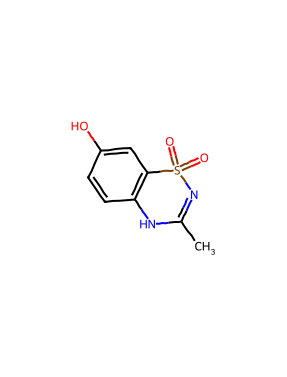 CC1=NS(=O)(=O)c2cc(O)ccc2N1